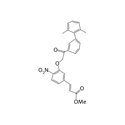 COC(=O)/C=C/c1ccc([N+](=O)[O-])c(OCC(=O)c2cccc(-c3c(C)cccc3C)c2)c1